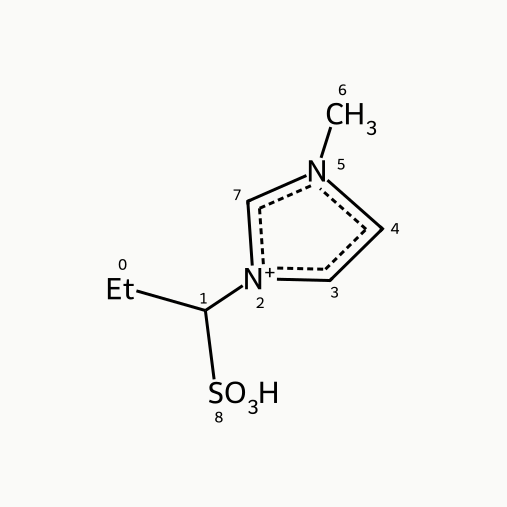 CCC([n+]1ccn(C)c1)S(=O)(=O)O